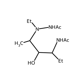 CCC(NC(C)=O)C(O)C(C)N(CC)NC(C)=O